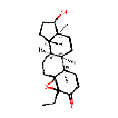 CCC12OC13CC[C@@H]1[C@@H](CC[C@]4(C)C(O)CC[C@@H]14)[C@@]3(C)CCC2=O